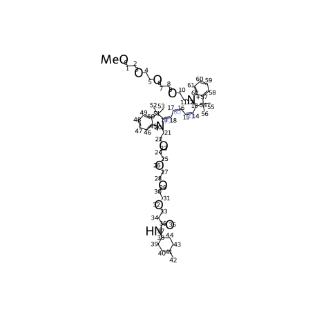 COCCOCCOCCOCC[N+]1=C(\C=C/C=C\C=C2\N(CCOCCOCCOCCOCCC(=O)NC3CCC(C)CC3)c3ccccc3C2(C)C)C(C)(C)c2ccccc21